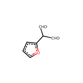 O=[C]C([C]=O)c1ccco1